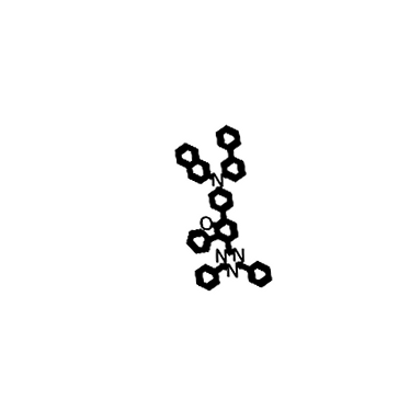 C1=C(c2ccc(-c3nc(-c4ccccc4)nc(-c4ccccc4)n3)c3c2oc2ccccc23)CCC(N(c2cccc(-c3ccccc3)c2)c2ccc3ccccc3c2)=C1